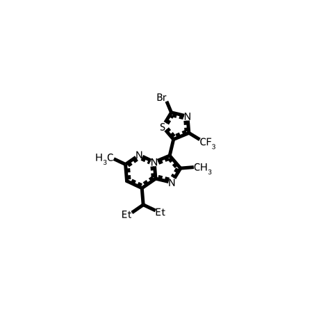 CCC(CC)c1cc(C)nn2c(-c3sc(Br)nc3C(F)(F)F)c(C)nc12